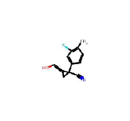 Cc1ccc(C2(C#N)C/C2=C\O)cc1F